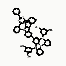 CC(C)(C)c1cc(N2c3ccccc3B3c4ccccc4N(c4cc(C(C)(C)C)cc(C(C)(C)C)c4)c4cc(-c5ccc6c(c5)c5ccccc5n6-c5ccccc5-c5cc(-c6ccccc6)nc(-c6ccccc6)n5)cc2c43)cc(C(C)(C)C)c1